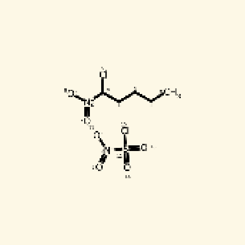 CCCCC(Cl)[N+](=O)[O-].O=[N+]([O-])S(=O)(=O)Cl